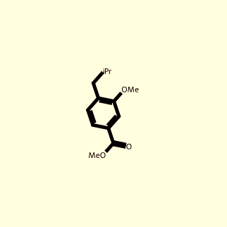 COC(=O)c1ccc(CC(C)C)c(OC)c1